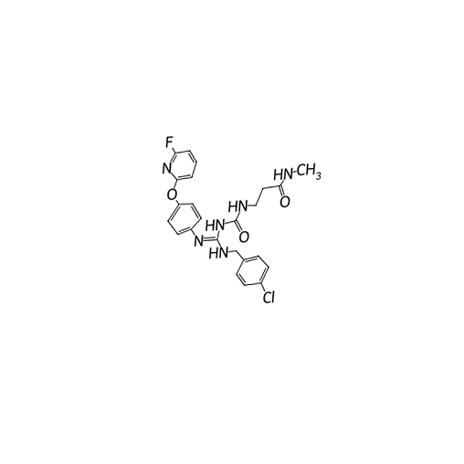 CNC(=O)CCNC(=O)N/C(=N\c1ccc(Oc2cccc(F)n2)cc1)NCc1ccc(Cl)cc1